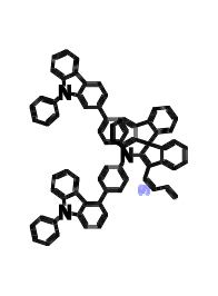 C=C/C=C\C1=C(N(c2ccc(-c3ccc4c5ccccc5n(-c5ccccc5)c4c3)cc2)c2ccc(-c3cccc4c3c3ccccc3n4-c3ccccc3)cc2)C2(c3ccccc31)c1ccccc1-c1ccccc12